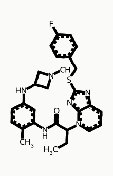 CCC(C(=O)Nc1cc(NC2CN(C)C2)ccc1C)n1cccc2nc(SCc3ccc(F)cc3)nc1-2